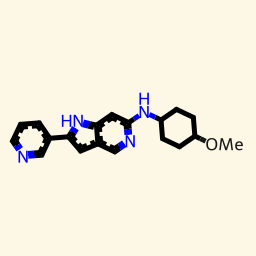 COC1CCC(Nc2cc3[nH]c(-c4cccnc4)cc3cn2)CC1